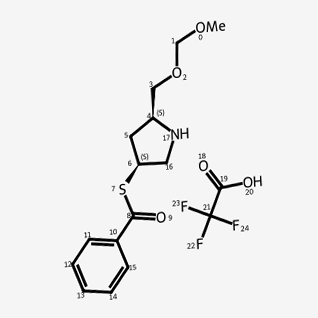 COCOC[C@@H]1C[C@H](SC(=O)c2ccccc2)CN1.O=C(O)C(F)(F)F